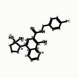 O=C(NCc1ccc(F)cc1)c1nc(N2CCCS2(O)O)c2cccnc2c1O